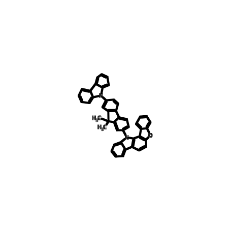 CC1(C)c2cc(-n3c4ccccc4c4ccccc43)ccc2-c2ccc(-n3c4ccccc4c4ccc5oc6ccccc6c5c43)cc21